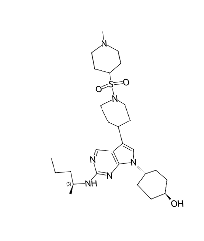 CCC[C@H](C)Nc1ncc2c(C3CCN(S(=O)(=O)C4CCN(C)CC4)CC3)cn([C@H]3CC[C@H](O)CC3)c2n1